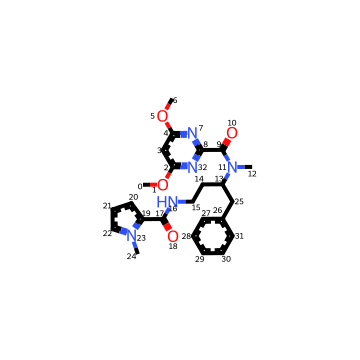 COc1cc(OC)nc(C(=O)N(C)C(CCNC(=O)c2cccn2C)Cc2ccccc2)n1